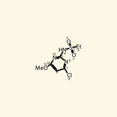 [CH2]CS(=O)(=O)Nc1nc(Cl)cc(OC)n1